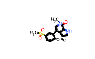 CC(C)COc1ccc(S(C)(=O)=O)cc1-c1cn(C)c(=O)c2[nH]ccc12